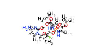 CC[C@@](F)(COP(=O)(N[C@@H](C)C(=O)OC(C)C)N[C@@H](C)C(=O)OC(C)C)O[C@H](C)n1ccc(N)nc1=O